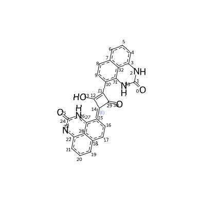 O=C1Nc2cccc3ccc(C4=C(O)/C(=c5/ccc6cccc7nc(=O)[nH]c5c67)C4=O)c(c23)N1